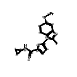 Cc1nc2cc(OC(C)C)ccc2n1-c1ccc(C(=O)NC2CC2)s1